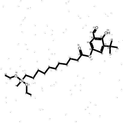 CCO[Si](C)(CCCCCCCCCCC(=O)Oc1cc(C=O)c(O)c(C(C)(C)C)c1)OCC